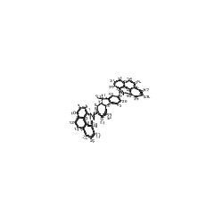 CC1(C)c2cc(-n3c4cccc5ccc6cccc3c6c54)ccc2-c2ccc(-n3c4cccc5ccc6cccc3c6c54)cc21